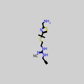 C#CCNC(=NC#N)NCCSC(C)(C)c1csc(CN)n1